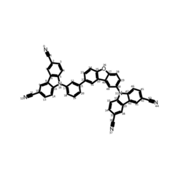 N#Cc1ccc2c(c1)c1cc(C#N)ccc1n2-c1cccc(-c2ccc3oc4ccc(-n5c6ccc(C#N)cc6c6cc(C#N)ccc65)cc4c3c2)c1